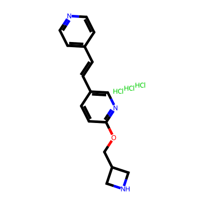 C(=Cc1ccc(OCC2CNC2)nc1)c1ccncc1.Cl.Cl.Cl